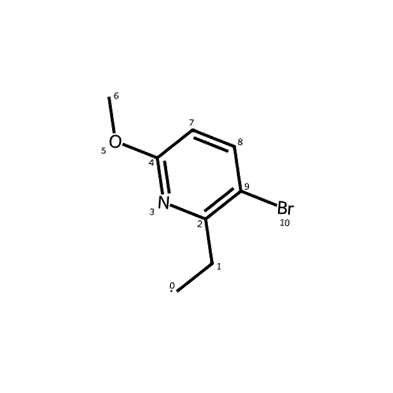 [CH2]Cc1nc(OC)ccc1Br